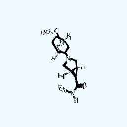 CCN(CC)C(=O)C1[C@H]2CN(C3C[C@@H]4CC[C@H]3CN4C(=O)O)C[C@@H]12